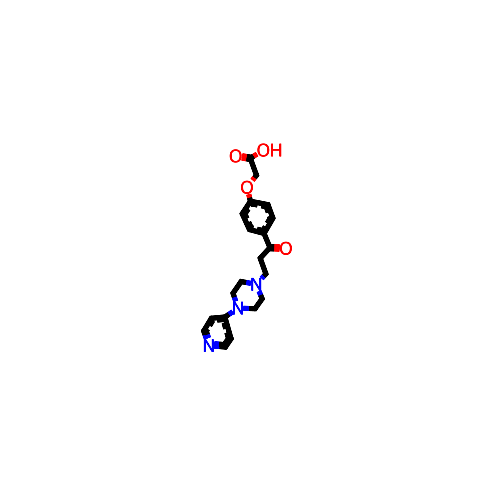 O=C(O)COc1ccc(C(=O)CCN2CCN(c3ccncc3)CC2)cc1